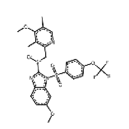 COc1ccc2nc([S+]([O-])Cc3ncc(C)c(OC)c3C)n(S(=O)(=O)c3ccc(OC(F)(F)F)cc3)c2c1